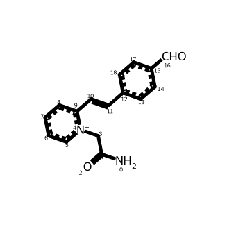 NC(=O)C[n+]1ccccc1C=Cc1ccc(C=O)cc1